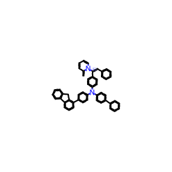 C=C1C=CC=CN1/C(=C/c1ccccc1)c1ccc(N(c2ccc(-c3ccccc3)cc2)c2ccc(-c3cccc4c3Cc3ccccc3-4)cc2)cc1